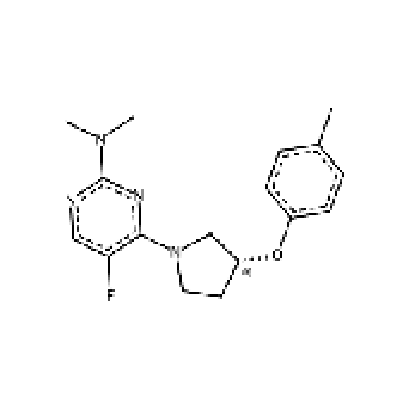 Cc1ccc(O[C@@H]2CCN(c3nc(N(C)C)ncc3F)C2)cc1